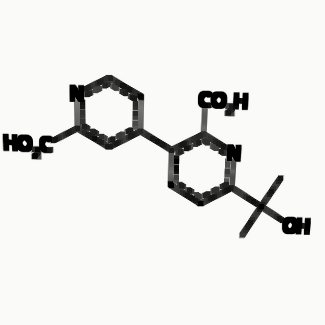 CC(C)(O)c1ccc(-c2ccnc(C(=O)O)c2)c(C(=O)O)n1